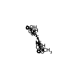 CC(=O)O[C@H](C(=O)Nc1nnc(CCSCCc2nnc(NC(=O)[C@@H](O)c3ccccc3)s2)s1)c1ccccc1